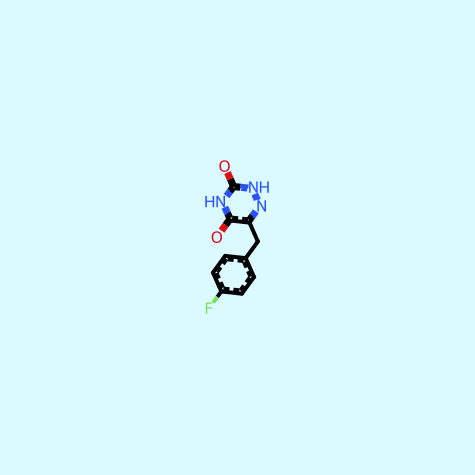 O=c1[nH]nc(Cc2ccc(F)cc2)c(=O)[nH]1